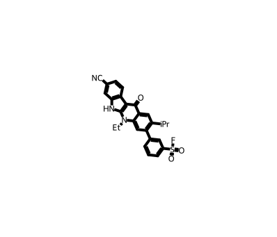 CCn1c2cc(-c3cccc(S(=O)(=O)F)c3)c(C(C)C)cc2c(=O)c2c3ccc(C#N)cc3[nH]c21